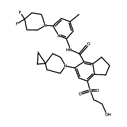 Cc1cc(NC(=O)c2c(N3CCC4(CC3)CC4)cc(S(=O)(=O)CCO)c3c2CCC3)nc(N2CCC(F)(F)CC2)c1